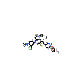 [C-]#[N+]c1ccc(N(Cc2ccc(-c3ccc(OC)nc3)s2)[C@H]2CCN(C)C2)cc1Cl